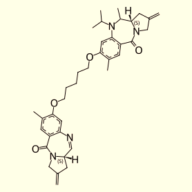 C=C1C[C@H]2C=Nc3cc(OCCCCCOc4cc5c(cc4C)C(=O)N4CC(=C)C[C@H]4C(C)N5C(C)C)c(C)cc3C(=O)N2C1